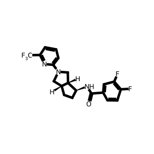 O=C(N[C@H]1CC[C@@H]2CN(c3cccc(C(F)(F)F)n3)C[C@@H]21)c1ccc(F)c(F)c1